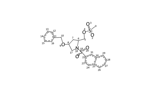 CS(=O)(=O)OCC1CC(OCc2ccccc2)CN1S(=O)(=O)c1ccc2ccccc2c1